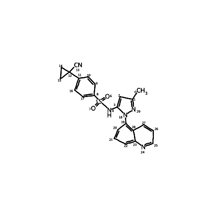 Cc1cc(NS(=O)(=O)c2ccc(C3(C#N)CC3)cc2)n(-c2cccc3ncccc23)n1